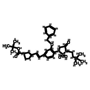 CC(C)(C)OC(=O)N1CCC(C=Cc2ccc(N3CC(=O)N(CC[Si](C)(C)C)S3(=O)=O)c(OCc3ccccc3)c2)C1